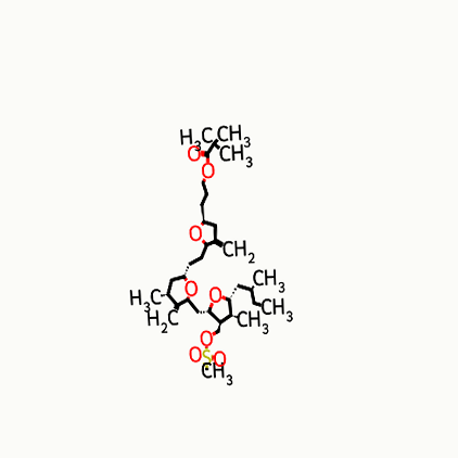 C=C1C[C@H](CCCOC(=O)C(C)(C)C)OC1CC[C@H]1C[C@@H](C)C(=C)C(C[C@@H]2O[C@H](C[C@H](C)CC)[C@H](C)[C@H]2COS(C)(=O)=O)O1